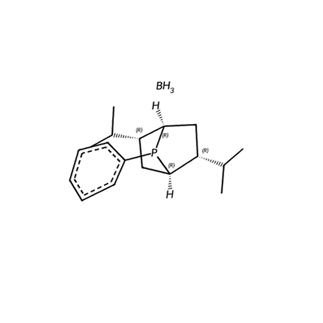 B.CC(C)[C@H]1C[C@@H]2[C@@H](C(C)C)C[C@H]1P2c1ccccc1